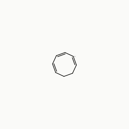 [C]1=CCCC=CC=C1